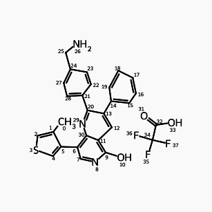 Cc1cscc1-c1cnc(O)c2cc(-c3ccccc3)c(-c3ccc(CN)cc3)nc12.O=C(O)C(F)(F)F